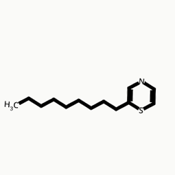 CCCCCCCCCC1=C[N]C=CS1